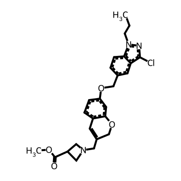 CCCn1nc(Cl)c2cc(COc3ccc4c(c3)OCC(CN3CC(C(=O)OC)C3)=C4)ccc21